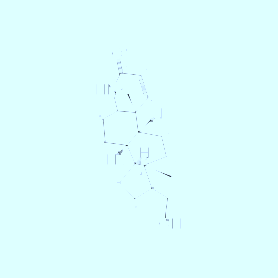 C[C@]12C=CC(=O)NC1CC[C@@H]1[C@H]2CC[C@]2(C)C(CO)CC[C@@H]12